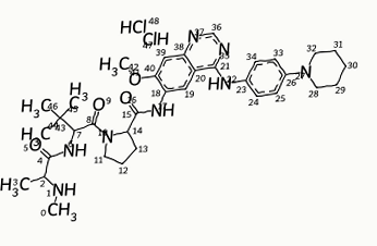 CNC(C)C(=O)NC(C(=O)N1CCCC1C(=O)Nc1cc2c(Nc3ccc(N4CCCCC4)cc3)ncnc2cc1OC)C(C)(C)C.Cl.Cl